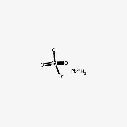 O=[Se](=O)([O-])[O-].[PbH2+2]